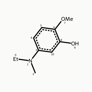 CCN(C)c1ccc(OC)c(O)c1